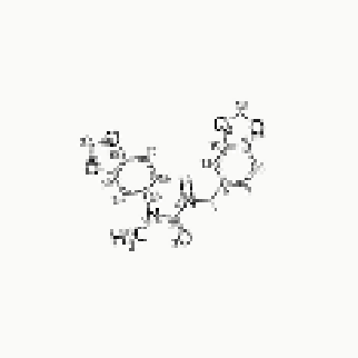 CN(C(=O)NCc1ccc2c(c1)OCO2)c1ccc2c(c1)OCO2